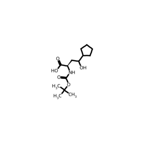 CC(C)(C)OC(=O)N[C@H](CC(O)C1CCCC1)C(=O)O